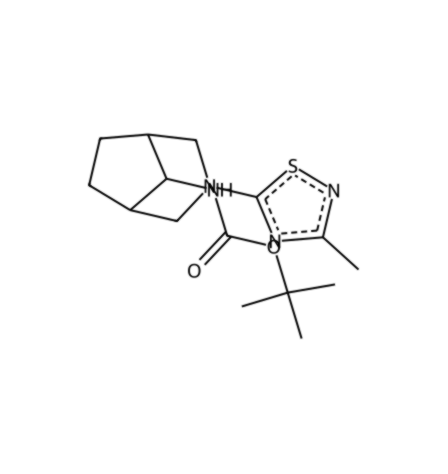 Cc1nsc(N2CC3CCC(C2)C3NC(=O)OC(C)(C)C)n1